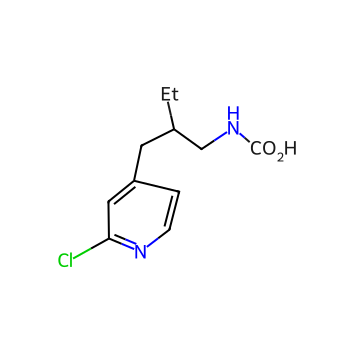 CCC(CNC(=O)O)Cc1ccnc(Cl)c1